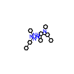 c1ccc(C2=NC(c3ccc(-c4ccccc4)cc3)=NC(n3c4ccccc4c4c5c6cc(-c7ccccc7)ccc6n(-c6ccccc6)c5ccc43)N2)cc1